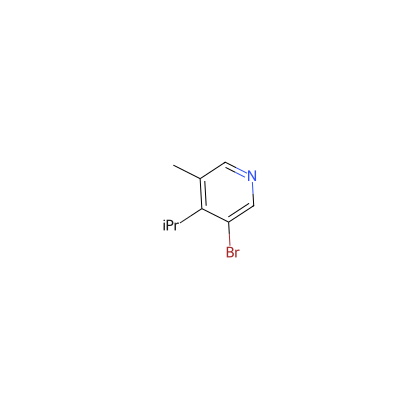 Cc1cncc(Br)c1C(C)C